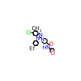 CCc1ccc(-n2c(N3CCC(C(=O)N[C@@H]4CCOC4)CC3)nc3cc(C)c(Cl)cc32)cc1